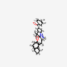 CN1c2ccc(C(=O)c3ccccc3)cc2C(C)(C)C12C=Cc1c(ccc3ccccc13)O2